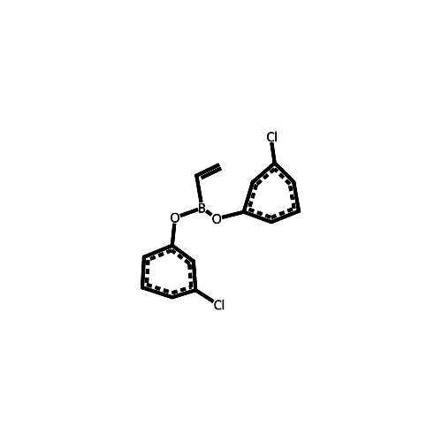 C=CB(Oc1cccc(Cl)c1)Oc1cccc(Cl)c1